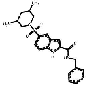 CC1CC(C)CN(S(=O)(=O)c2ccc3[nH]c(C(=O)NCc4ccccc4)cc3c2)C1